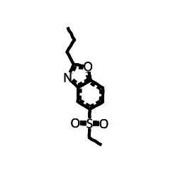 CCCc1nc2cc(S(=O)(=O)CC)ccc2o1